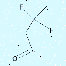 CC(F)(F)C[C]=O